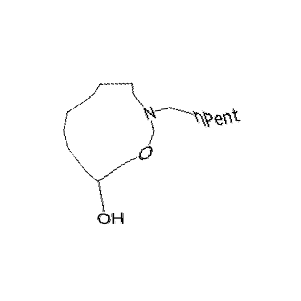 CCCCCN1CCCCC(O)O1